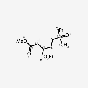 CCCP(C)(=O)CC[C@H](NC(=O)OC)C(=O)OCC